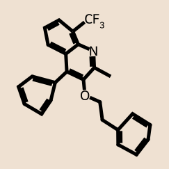 Cc1nc2c(C(F)(F)F)cccc2c(-c2ccccc2)c1OCCc1ccccc1